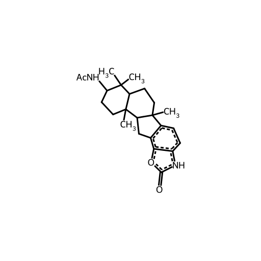 CC(=O)NC1CCC2(C)C3Cc4c(ccc5[nH]c(=O)oc45)C3(C)CCC2C1(C)C